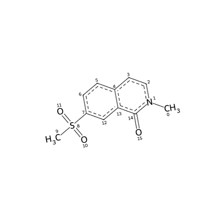 Cn1ccc2ccc(S(C)(=O)=O)cc2c1=O